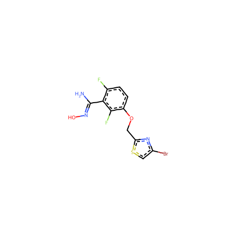 NC(=NO)c1c(F)ccc(OCc2nc(Br)cs2)c1F